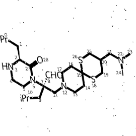 CC(C)C[C@@H]1NCCN([C@](C=O)(CC(C)C)CN2CCC3(CC2)SCC(CN(C)I)CS3)C1=O